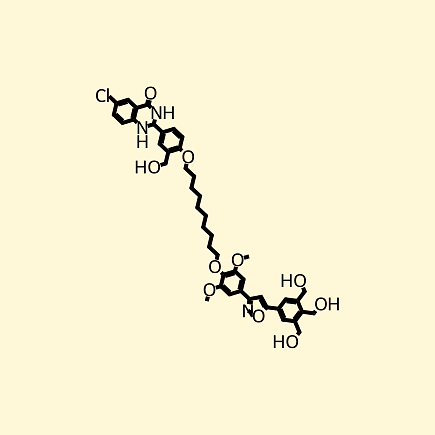 COc1cc(-c2cc(-c3cc(CO)c(CO)c(CO)c3)on2)cc(OC)c1OCCCCCCCCCCOc1ccc(C2NC(=O)c3cc(Cl)ccc3N2)cc1CO